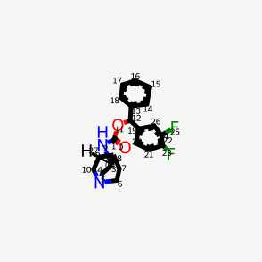 O=C(N[C@H]1CN2CCC1CC2)OC(c1ccccc1)c1ccc(F)c(F)c1